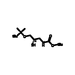 CC(C)(C)OC(=O)NC[C@H](S)CO[Si](C)(C)C(C)(C)C